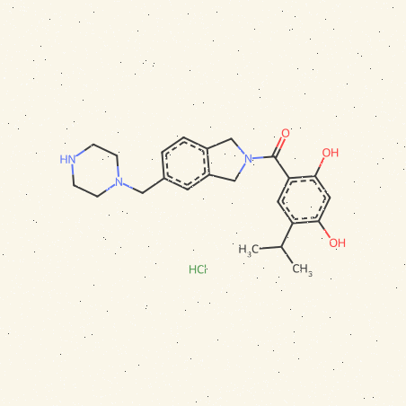 CC(C)c1cc(C(=O)N2Cc3ccc(CN4CCNCC4)cc3C2)c(O)cc1O.Cl